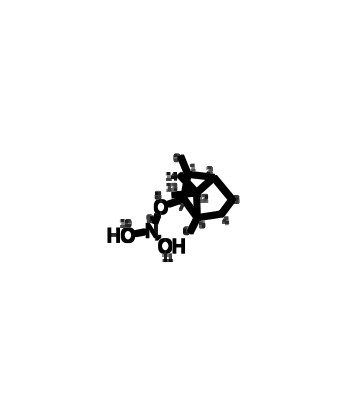 CC1C2CCC(C)(C1ON(O)O)C2(C)C